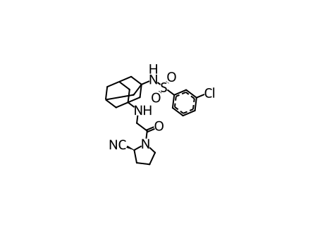 N#C[C@@H]1CCCN1C(=O)CNC12CC3CC(C1)CC(NS(=O)(=O)c1cccc(Cl)c1)(C3)C2